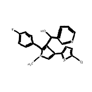 Cn1cc(-c2ccc(Cl)s2)c(C(O)c2cccnc2)c1-c1ccc(F)cc1